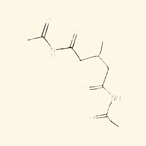 CC(=O)NC(=O)CC(C)CC(=O)NC(C)=O